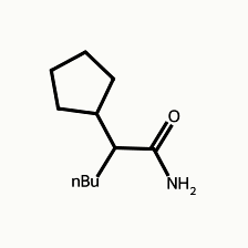 CCCCC(C(N)=O)C1CCCC1